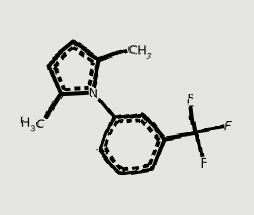 Cc1ccc(C)n1-c1[c]ccc(C(F)(F)F)c1